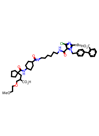 CCCCc1nc(Cl)c(C(=O)NCCCCCCNC(=O)C2CCC(NC(=O)C3(CC(COCCOC)C(=O)O)CCCC3)CC2)n1Cc1ccc(-c2ccccc2C(=O)O)cc1